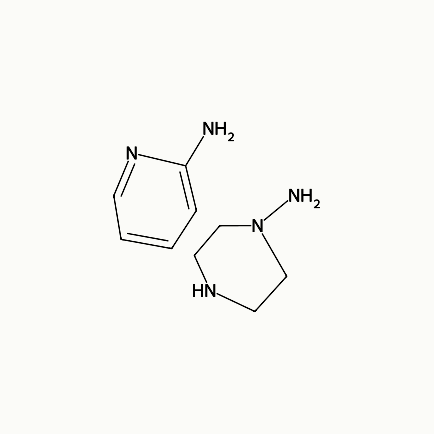 NN1CCNCC1.Nc1ccccn1